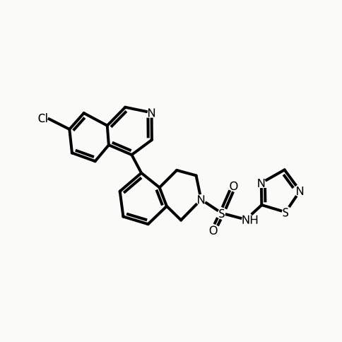 O=S(=O)(Nc1ncns1)N1CCc2c(cccc2-c2cncc3cc(Cl)ccc23)C1